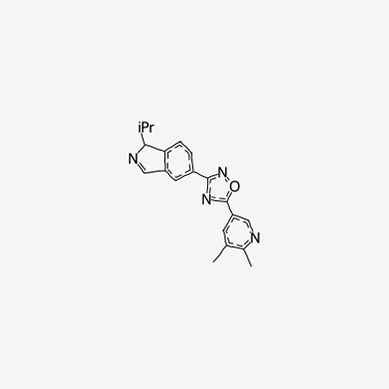 Cc1cc(-c2nc(-c3ccc4c(c3)C=NC4C(C)C)no2)cnc1C